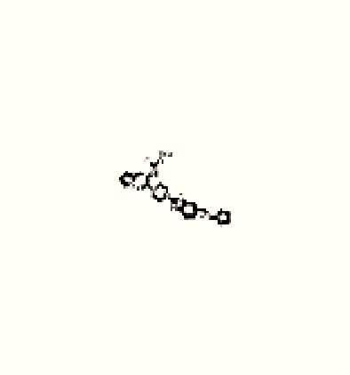 CC(C)(C)OC(=O)N[C@@H](Cc1cccs1)C(=O)N1CCN(c2nc3ccc(CNC4CCCC4)cc3s2)CC1